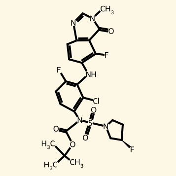 Cn1cnc2ccc(Nc3c(F)ccc(N(C(=O)OC(C)(C)C)S(=O)(=O)N4CC[C@@H](F)C4)c3Cl)c(F)c2c1=O